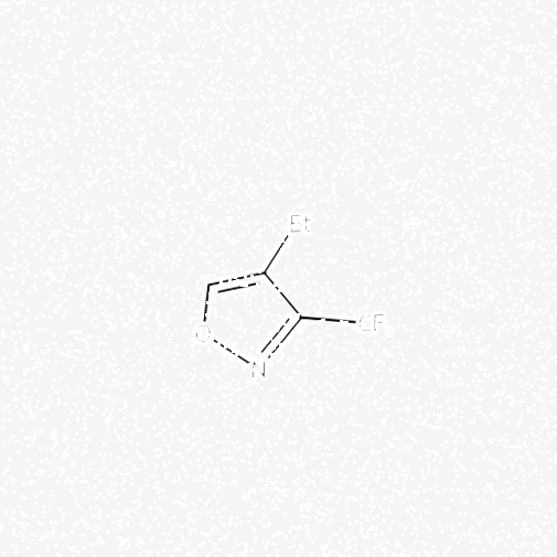 CCc1conc1C(F)(F)F